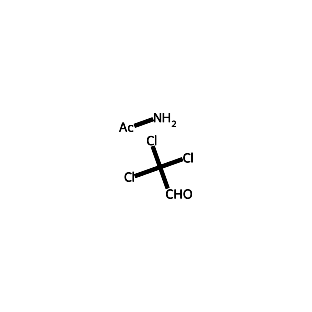 CC(N)=O.O=CC(Cl)(Cl)Cl